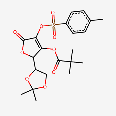 Cc1ccc(S(=O)(=O)OC2=C(OC(=O)C(C)(C)C)C(C3COC(C)(C)O3)OC2=O)cc1